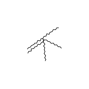 CCCCCCCCCC[C](CCCCCCCCCC)C(CCCCCCCCCC)=C(CCCCCCCCCC)CCCCCCCCCC